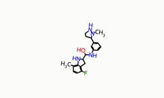 Cc1ccc(F)c2c1NC(C(O)Nc1cccc(C3CCNN3C)c1)C2